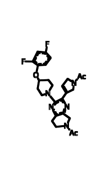 CC(=O)N1CC=C(c2nc3c(nc2N2CCC(Oc4ccc(F)cc4F)CC2)CCN(C(C)=O)C3)C1